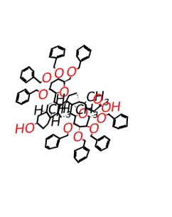 C[C@H](CCC(=O)O)[C@H]1CC[C@H]2[C@@H]3[C@@H]([C@@H]4O[C@H](COCc5ccccc5)[C@@H](OCc5ccccc5)[C@H](OCc5ccccc5)[C@H]4OCc4ccccc4)C[C@@H]4C[C@H](O)CC[C@]4(C)[C@H]3C[C@@H]([C@@H]3O[C@H](COCc4ccccc4)[C@@H](OCc4ccccc4)[C@H](OCc4ccccc4)[C@H]3OCc3ccccc3)[C@]12C